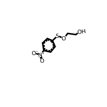 O=[N+]([O-])c1ccc(SOCCO)cc1